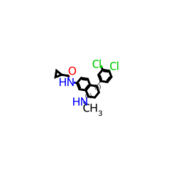 CN[C@H]1CC[C@@H](c2ccc(Cl)c(Cl)c2)c2ccc(NC(=O)C3CC3)cc21